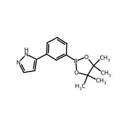 CC1(C)OB(c2cccc(-c3ccn[nH]3)c2)OC1(C)C